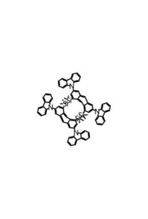 C[Si]1(C)c2cc(-n3c4ccccc4c4ccccc43)cc3cc4cc(-n5c6ccccc6c6ccccc65)cc(c4cc23)[Si](C)(C)[Si](C)(C)c2cc(-n3c4ccccc4c4ccccc43)cc3cc4cc(-n5c6ccccc6c6ccccc65)cc(c4cc23)[Si]1(C)C